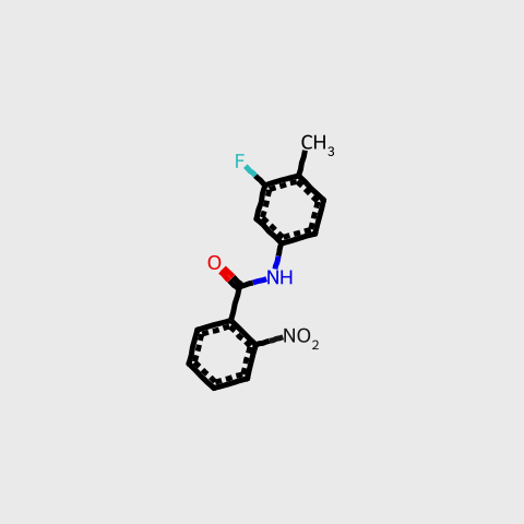 Cc1ccc(NC(=O)c2ccccc2[N+](=O)[O-])cc1F